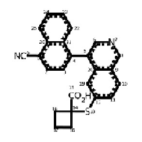 N#Cc1ccc(-c2cncc3ccc(SC4(C(=O)O)CCC4)cc23)c2ccccc12